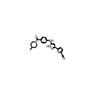 CC1CCN(C(=O)c2ccc(Nc3cc(-c4ccc(C#N)s4)n[nH]3)cc2)CC1